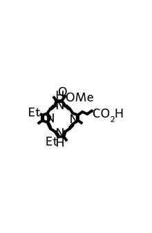 CCC1=C(C)c2cc3[nH]c(cc4nc(cc5[nH]c(cc1n2)c(C)c5C(=O)OC)C(CCCC(=O)O)=C4C)c(C)c3CC